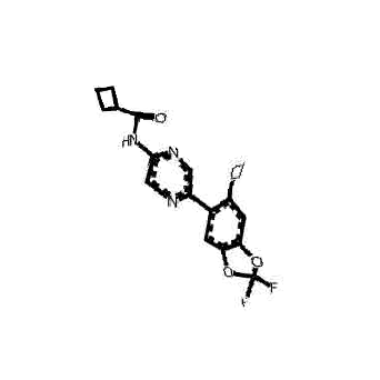 O=C(Nc1cnc(-c2cc3c(cc2Cl)OC(F)(F)O3)cn1)C1CCC1